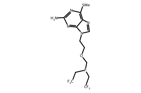 CSc1nc(N)nc2c1ncn2CCOCP(CC(F)(F)F)CC(F)(F)F